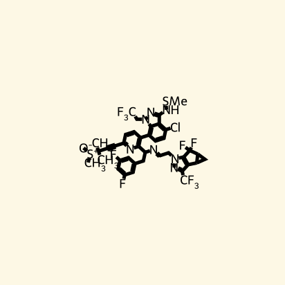 CSNc1nn(CC(F)(F)F)c2c(-c3ccc(C#CC(C)(C)[S+](C)[O-])nc3C(Cc3cc(F)cc(F)c3)/N=C/Cn3nc(C(F)(F)F)c4c3C(F)(F)C3CC43)ccc(Cl)c12